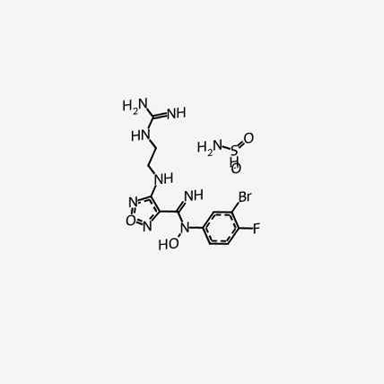 N=C(N)NCCNc1nonc1C(=N)N(O)c1ccc(F)c(Br)c1.N[SH](=O)=O